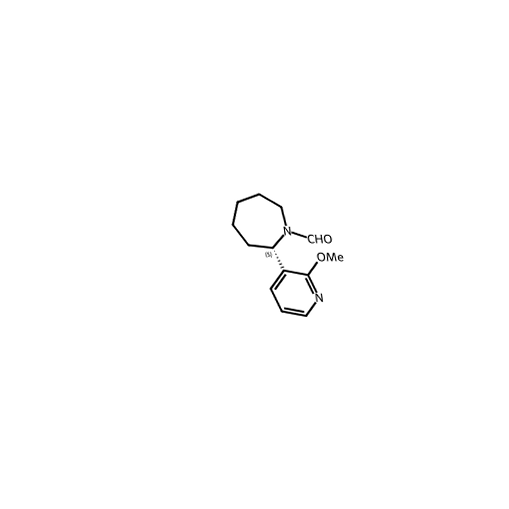 COc1ncccc1[C@@H]1CCCCCN1C=O